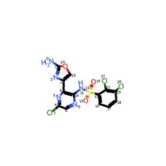 Nc1nc(-c2nc(Cl)cnc2NS(=O)(=O)c2cccc(Cl)c2Cl)co1